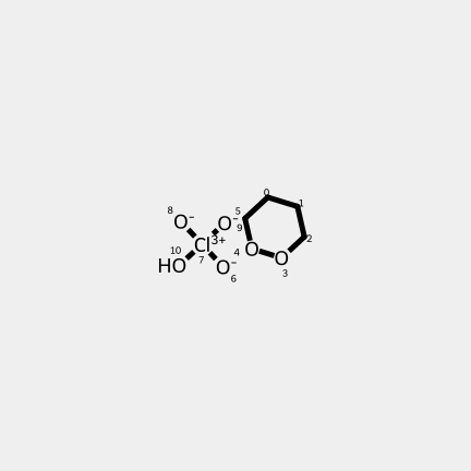 C1CCOOC1.[O-][Cl+3]([O-])([O-])O